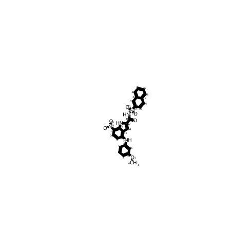 COc1cccc(Nc2ccc([N+](=O)[O-])c3[nH]c(C(=O)NS(=O)(=O)c4ccc5ccccc5c4)cc23)c1